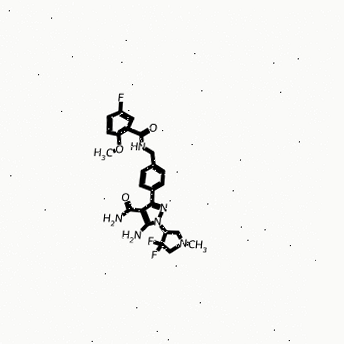 COc1ccc(F)cc1C(=O)NCc1ccc(-c2nn(C3CN(C)CC3(F)F)c(N)c2C(N)=O)cc1